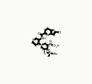 CCc1cc2nc(C(=O)Nc3cnccc3N3C[C@H](C)[C@H](O[Si](C)(C)C(C)(C)C)[C@H](NC(=O)O)C3)ccc2s1